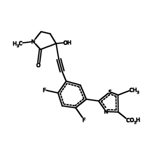 Cc1sc(-c2cc(C#CC3(O)CCN(C)C3=O)c(F)cc2F)nc1C(=O)O